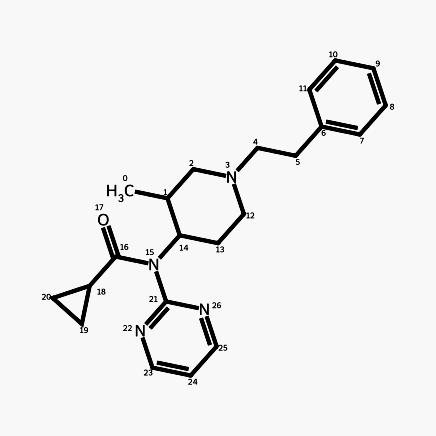 CC1CN(CCc2ccccc2)CCC1N(C(=O)C1CC1)c1ncccn1